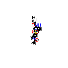 C=CC(=O)NC1CCN(S(=O)(=O)c2ccc3c(c2)CCN3C(=O)C2CC2)c2ccccc21